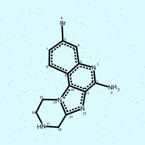 Nc1nc2cc(Br)ccc2c2c1nc1n2CCNC1